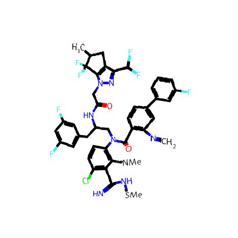 C=Nc1cc(-c2cccc(F)c2)ccc1C(=O)N(CC(Cc1cc(F)cc(F)c1)NC(=O)Cn1nc(C(F)F)c2c1C(F)(F)C(C)C2)c1ccc(Cl)c(C(=N)NSC)c1NC